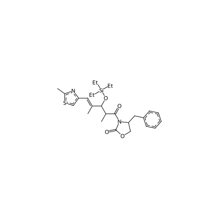 CC[Si](CC)(CC)OC(/C(C)=C/c1csc(C)n1)C(C)C(=O)N1C(=O)OCC1Cc1ccccc1